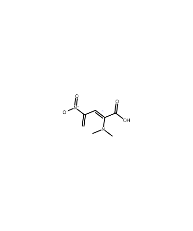 C=C(/C=C(/C(=O)O)N(C)C)[N+](=O)[O-]